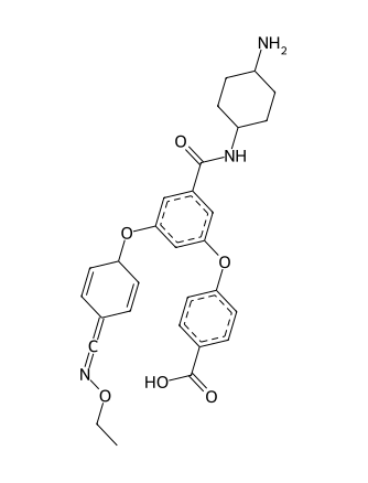 CCON=C=C1C=CC(Oc2cc(Oc3ccc(C(=O)O)cc3)cc(C(=O)NC3CCC(N)CC3)c2)C=C1